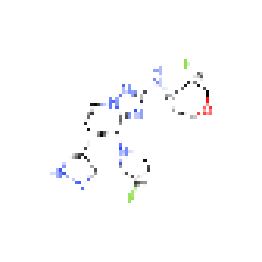 F[C@@H]1CCN(c2c(-c3cn[nH]c3)ccn3nc(N[C@H]4CCOC[C@H]4F)nc23)C1